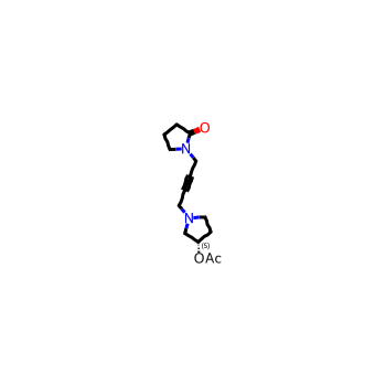 CC(=O)O[C@H]1CCN(CC#CCN2CCCC2=O)C1